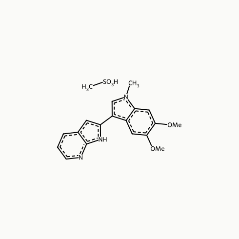 COc1cc2c(-c3cc4cccnc4[nH]3)cn(C)c2cc1OC.CS(=O)(=O)O